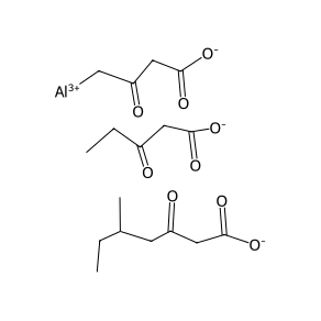 CCC(=O)CC(=O)[O-].CCC(=O)CC(=O)[O-].CCC(C)CC(=O)CC(=O)[O-].[Al+3]